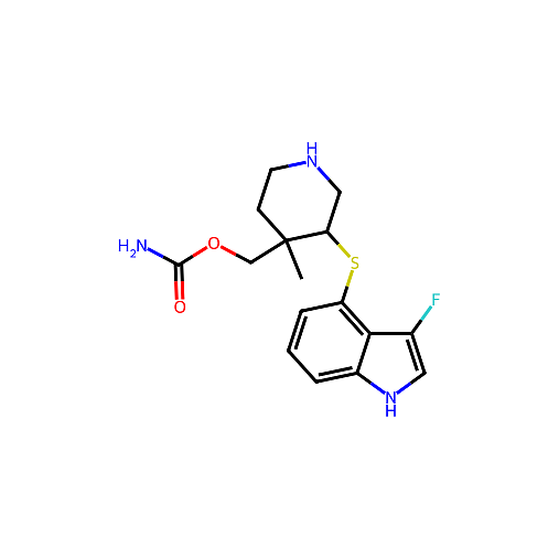 CC1(COC(N)=O)CCNCC1Sc1cccc2[nH]cc(F)c12